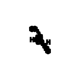 CN(CCCCCc1ccc2ccccc2c1)C(=O)[C@H](OCCCCCc1ccc2ccccc2c1)[C@@H](O)C(=O)O